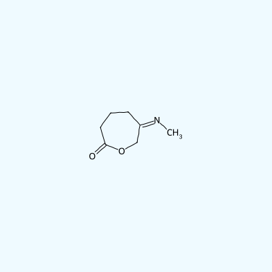 C/N=C1/CCCC(=O)OC1